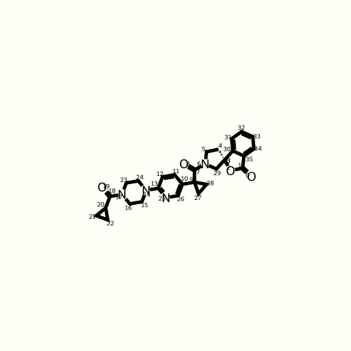 O=C1O[C@]2(CCN(C(=O)C3(c4ccc(N5CCN(C(=O)C6CC6)CC5)nc4)CC3)C2)c2ccccc21